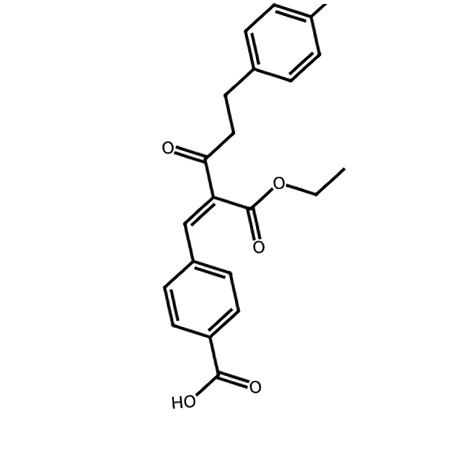 CCOC(=O)C(=Cc1ccc(C(=O)O)cc1)C(=O)CCc1ccc(F)cc1